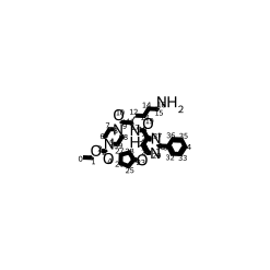 CCOC(=O)N1CCN(C(=O)[C@H](CCCCN)NC(=O)c2cc(OC3CCCC3)nc(-c3ccccc3)n2)CC1